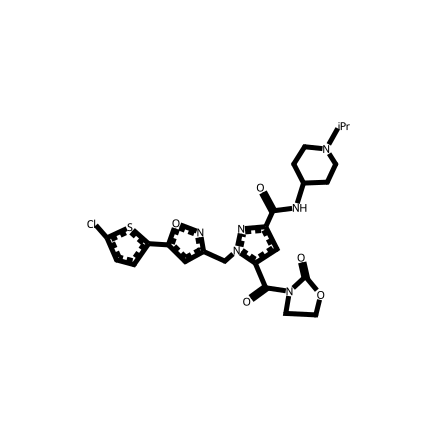 CC(C)N1CCC(NC(=O)c2cc(C(=O)N3CCOC3=O)n(Cc3cc(-c4ccc(Cl)s4)on3)n2)CC1